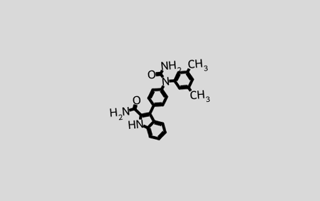 Cc1cc(C)cc(N(C(N)=O)c2ccc(-c3c(C(N)=O)[nH]c4ccccc34)cc2)c1